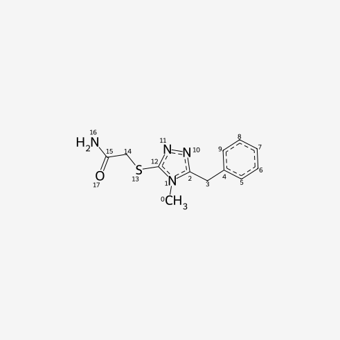 Cn1c(Cc2ccccc2)nnc1SCC(N)=O